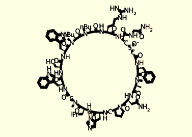 CCCC[C@H]1C(=O)N(C)[C@@H](CCCC)C(=O)N[C@@H](CCCNC(=N)N)C(=O)N[C@H](C(=O)NCC(N)=O)C[S+]([O-])CC(=O)N[C@@H](Cc2ccccc2)C(=O)N(C)[C@@H](C)C(=O)N[C@@H](CC(N)=O)C(=O)N2CCCC2CN[C@@H](Cc2cnc[nH]2)C(=O)N[C@@H](CC(C)C)C(=O)N(C)CC(=O)N[C@@H](Cc2c[nH]c3ccccc23)C(=O)N[C@@H](CO)C(=O)N[C@@H](Cc2c[nH]c3ccccc23)C(=O)N1C